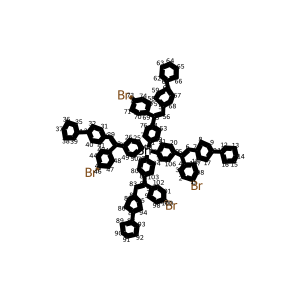 Brc1ccc(C(=Cc2ccc(-c3ccccc3)cc2)c2cc[c]([Sn]([c]3ccc(C(=Cc4ccc(-c5ccccc5)cc4)c4ccc(Br)cc4)cc3)([c]3ccc(C(=Cc4ccc(-c5ccccc5)cc4)c4ccc(Br)cc4)cc3)[c]3ccc(C(=Cc4ccc(-c5ccccc5)cc4)c4ccc(Br)cc4)cc3)cc2)cc1